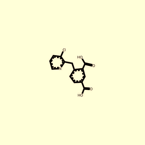 O=C(O)c1ccc(Cc2ncccc2Cl)c(C(=O)O)c1